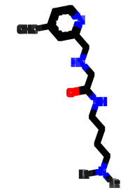 CCN(CC)CCCCNC(=O)CNCc1cc(C=O)ccn1